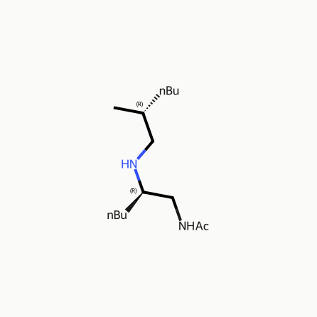 CCCC[C@@H](C)CN[C@H](CCCC)CNC(C)=O